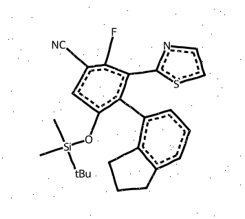 CC(C)(C)[Si](C)(C)Oc1cc(C#N)c(F)c(-c2nccs2)c1-c1cccc2c1CCC2